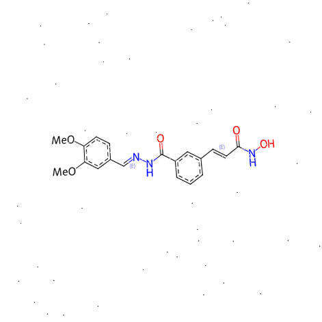 COc1ccc(/C=N/NC(=O)c2cccc(/C=C/C(=O)NO)c2)cc1OC